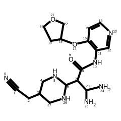 N#CCC1CNC(C(C(=O)Nc2cnccc2OC2CCOC2)C(N)N)NC1